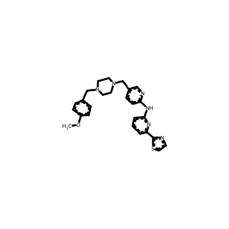 COc1ccc(CN2CCN(Cc3ccc(Nc4cccc(-c5nccs5)n4)nc3)CC2)cc1